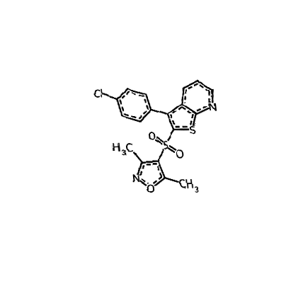 Cc1noc(C)c1S(=O)(=O)c1sc2ncccc2c1-c1ccc(Cl)cc1